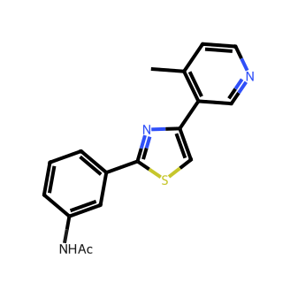 CC(=O)Nc1cccc(-c2nc(-c3cnccc3C)cs2)c1